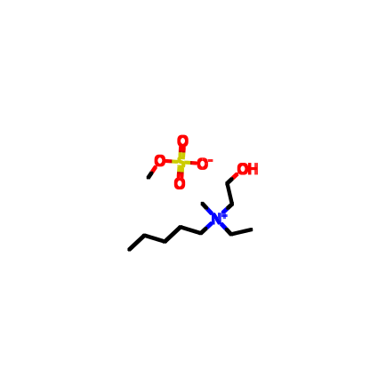 CCCCC[N+](C)(CC)CCO.COS(=O)(=O)[O-]